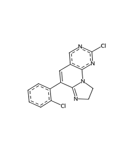 Clc1ncc2c(n1)N1CCN=C1C(c1ccccc1Cl)=C2